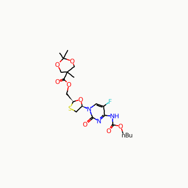 CCCCOC(=O)Nc1nc(=O)n([C@H]2CS[C@@H](COC(=O)C3(C)COC(C)(C)OC3)O2)cc1F